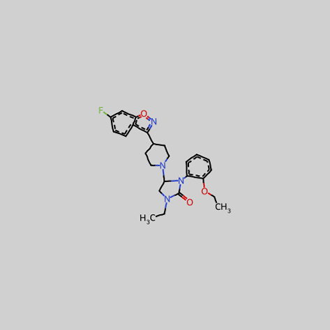 CCOc1ccccc1N1C(=O)N(CC)CC1N1CCC(c2noc3cc(F)ccc23)CC1